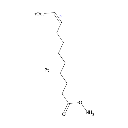 CCCCCCCC/C=C\CCCCCCCC(=O)ON.[Pt]